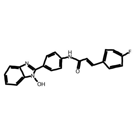 O=C(/C=C/c1ccc(F)cc1)Nc1ccc(-c2nc3ccccc3n2O)cc1